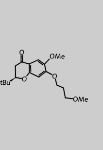 COCCCOc1cc2c(cc1OC)C(=O)C[C@H](C(C)(C)C)O2